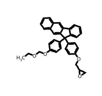 CCOCOc1ccc(C2(c3ccc(OCC4CO4)cc3)c3ccccc3-c3cc4ccccc4cc32)cc1